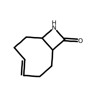 O=C1NC2CC/C=C/CCC12